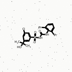 CC(C)c1cccc(C(C)C)c1NC(=O)NS(=O)(=O)c1cc(Cl)cc(C(C)(C)O)c1